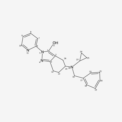 Oc1c2c(nn1-c1ccccn1)CCC(N(Cc1ccccc1)C1CC1)C2